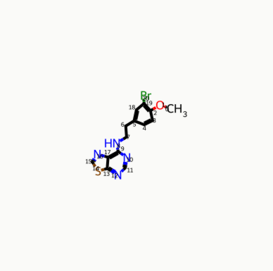 COc1ccc(CCNc2ncnc3scnc23)cc1Br